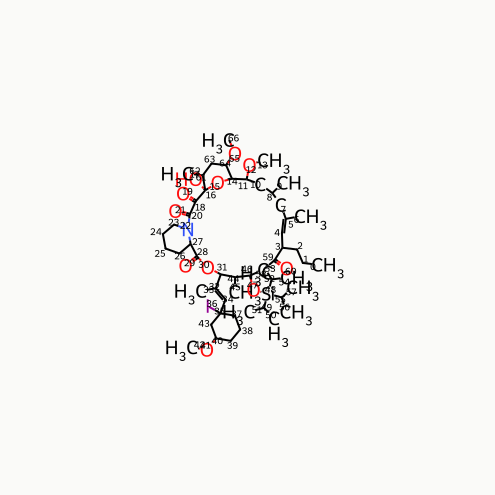 CCCC1/C=C(\C)CC(C)CC(OC)C2OC(O)(C(=O)C(=O)N3CCCCC3C(=O)OC(C(C)=CC3(I)CCCC(OC)C3)C(C)C(O[Si](C(C)C)(C(C)C)C(C)C)CC1=O)C(C)CC2OC